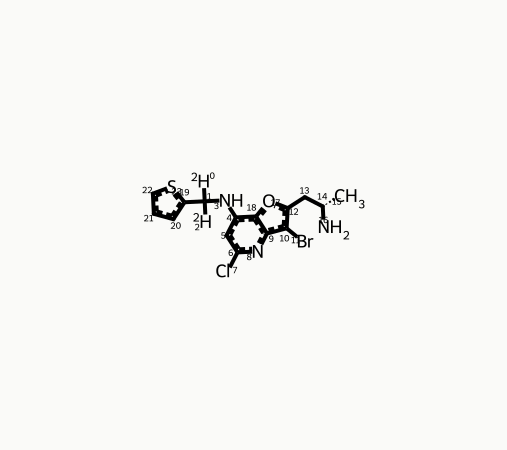 [2H]C([2H])(Nc1cc(Cl)nc2c(Br)c(C[C@H](C)N)oc12)c1cccs1